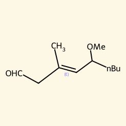 CCCCC(/C=C(\C)CC=O)OC